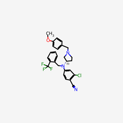 COc1ccc(CN2CC[C@H](N(Cc3ccccc3C(F)(F)F)c3ccc(C#N)c(Cl)c3)C2)cc1